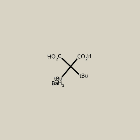 CC(C)(C)C(C(=O)O)(C(=O)O)C(C)(C)C.[BaH2]